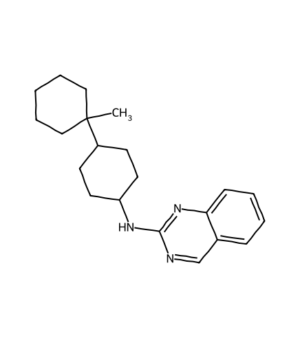 CC1(C2CCC(Nc3ncc4ccccc4n3)CC2)CCCCC1